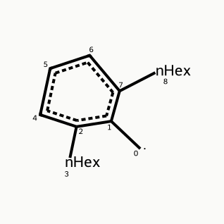 [CH2]c1c(CCCCCC)cccc1CCCCCC